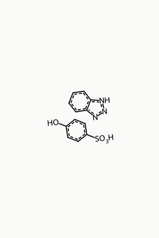 O=S(=O)(O)c1ccc(O)cc1.c1ccc2[nH]nnc2c1